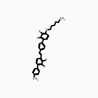 CCCCCCOc1ccc(-c2ccc(/C=C/c3ccc(-c4ccc(C)cc4)c(F)c3F)cc2)c(F)c1F